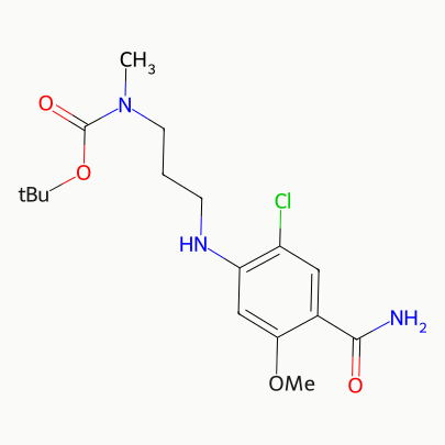 COc1cc(NCCCN(C)C(=O)OC(C)(C)C)c(Cl)cc1C(N)=O